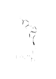 CCN(CCO)CCCC#Cc1ccc2c(ccn2-c2ccc(F)cc2)c1